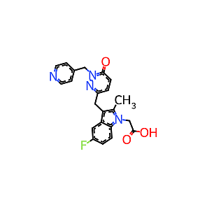 Cc1c(Cc2ccc(=O)n(Cc3ccncc3)n2)c2cc(F)ccc2n1CC(=O)O